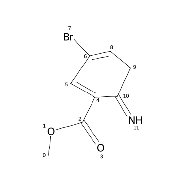 COC(=O)C1=CC(Br)=CCC1=N